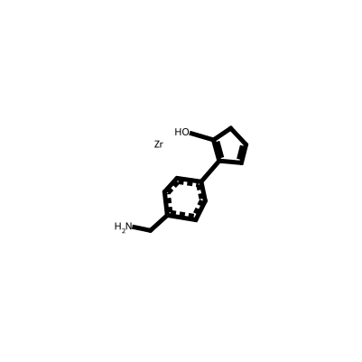 NCc1ccc(C2=C(O)CC=C2)cc1.[Zr]